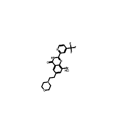 Cl.O=c1[nH]c(-c2cc(C(F)(F)F)ccn2)nc2c(Br)cc(CCN3CCOCC3)cc12